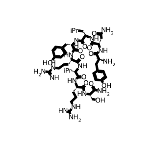 CC(C)C[C@H](NC(=O)[C@H](CC(N)=O)NC(=O)[C@@H](N)Cc1ccc(O)cc1)C(=O)N[C@@H](Cc1ccc(O)cc1)C(=O)N[C@@H](CCCNC(=N)N)C(=O)N[C@H](C(=O)N[C@@H](CCCNC(=N)N)C(=O)N[C@@H](CO)C(N)=O)C(C)C